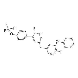 Fc1ccc(CC(F)C=C(c2ccc(OC(F)(F)F)cc2)C(F)F)cc1Oc1ccccc1